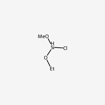 CCO[SiH](Cl)OC